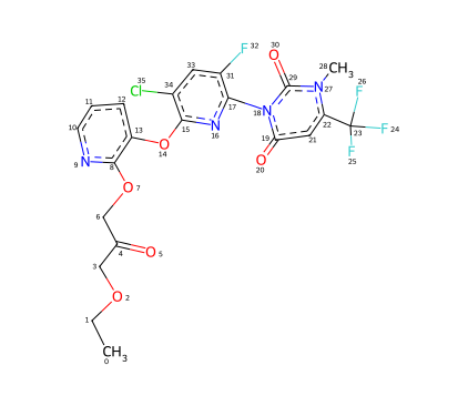 CCOCC(=O)COc1ncccc1Oc1nc(-n2c(=O)cc(C(F)(F)F)n(C)c2=O)c(F)cc1Cl